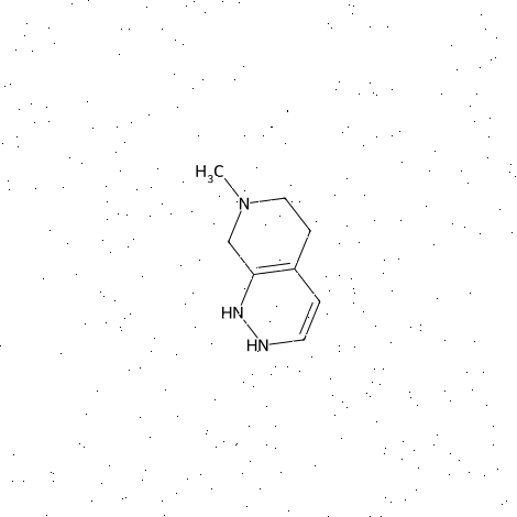 CN1CCC2=C(C1)NNC=C2